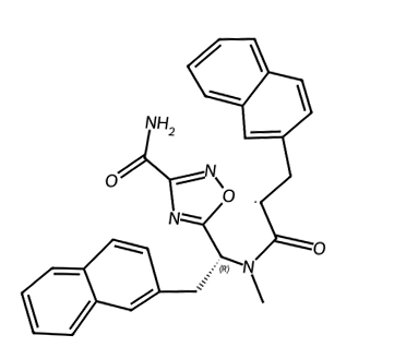 CN(C(=O)[CH]Cc1ccc2ccccc2c1)[C@H](Cc1ccc2ccccc2c1)c1nc(C(N)=O)no1